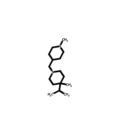 CC(C)C1(C)CCN(CC2CCN(C)CC2)CC1